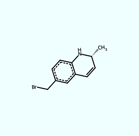 C[C@@H]1C=Cc2cc(CBr)ccc2N1